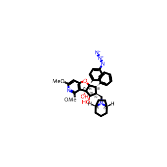 COc1cc2c(c(OC)n1)[C@]1(O)[C@H](O)[C@H](CN3[C@@H]4CCC[C@H]3CC4)[C@@H](c3ccccc3)[C@]1(c1ccc(N=[N+]=[N-])cc1)O2